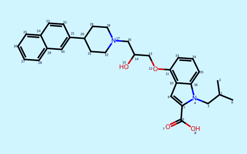 CC(C)Cn1c(C(=O)O)cc2c(OCC(O)CN3CCC(c4ccc5ccccc5c4)CC3)cccc21